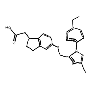 CCc1ccc(-n2nc(C)cc2COc2ccc3c(c2)CCC3CC(=O)O)cc1